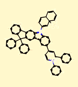 C=C(/C=C(\C=C/Nc1ccccc1)c1ccc2c(c1)c1cc3c(cc1n2C1=CC2(C)C=CC=CC2C=C1)-c1ccccc1C3(c1ccccc1)c1ccccc1)c1ccccc1